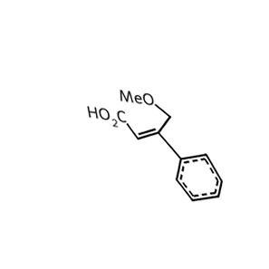 COCC(=CC(=O)O)c1ccccc1